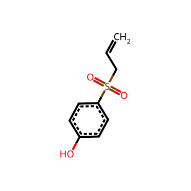 C=CCS(=O)(=O)c1ccc(O)cc1